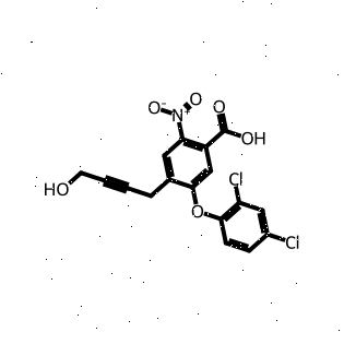 O=C(O)c1cc(Oc2ccc(Cl)cc2Cl)c(CC#CCO)cc1[N+](=O)[O-]